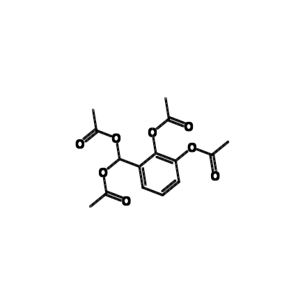 CC(=O)Oc1cccc(C(OC(C)=O)OC(C)=O)c1OC(C)=O